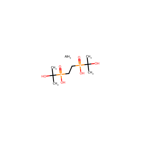 CC(C)(O)P(=O)(O)CCP(=O)(O)C(C)(C)O.[AlH3]